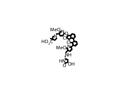 COc1nc(-c2cccc(-c3cccc4c3CC[C@@H]4Oc3nc(OC)c(CN4CC[C@@](C)(C(=O)O)C4)cc3C(F)(F)F)c2Cl)ccc1CNC[C@@H]1CC(O)C(=O)N1